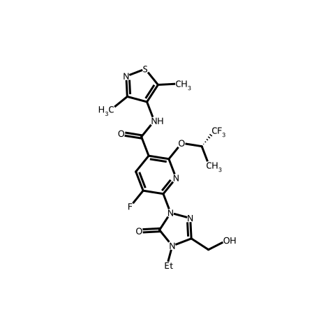 CCn1c(CO)nn(-c2nc(O[C@@H](C)C(F)(F)F)c(C(=O)Nc3c(C)nsc3C)cc2F)c1=O